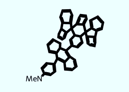 CNc1ccc(C2=c3ccccc3=C(C3=CC4C(C=C3)C3(c5ccccc5-c5ccccc53)c3ccccc3C43C4=CC=CCC4c4ccccc43)C3CC=CC=C23)cc1